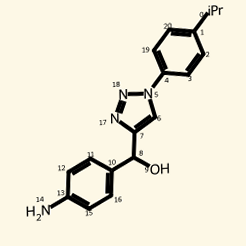 CC(C)c1ccc(-n2cc(C(O)c3ccc(N)cc3)nn2)cc1